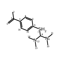 C=C(C)c1ccc([SiH2]C(N(C)C)N(C)C)cc1